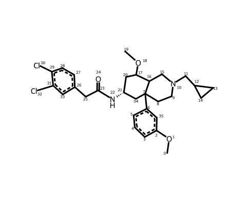 COc1cccc(C23CCN(CC4CC4)CC2C(OC)C[C@@H](NC(=O)Cc2ccc(Cl)c(Cl)c2)C3)c1